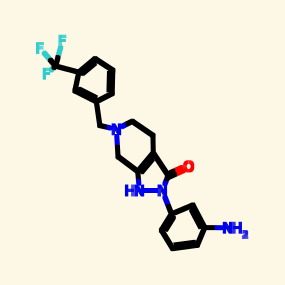 Nc1cccc(-n2[nH]c3c(c2=O)CCN(Cc2cccc(C(F)(F)F)c2)C3)c1